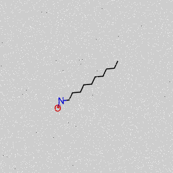 CCCCCCCCCCN=O